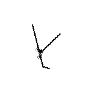 CCCCC/C=C\CCCCCCCC(=O)OC[C@H](COC(=O)CCCCCCCCCCCCCCCCCCCCC)OC(=O)CCCCCCCCCCCCCCCCCCCCC